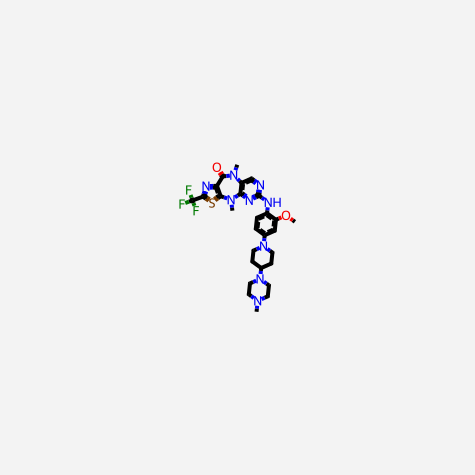 COc1cc(N2CCC(N3CCN(C)CC3)CC2)ccc1Nc1ncc2c(n1)N(C)c1sc(C(F)(F)F)nc1C(=O)N2C